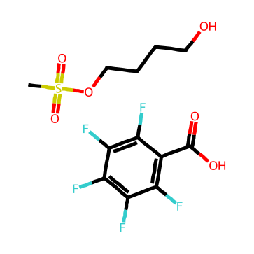 CS(=O)(=O)OCCCCO.O=C(O)c1c(F)c(F)c(F)c(F)c1F